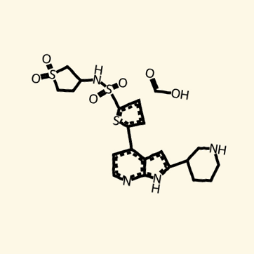 O=CO.O=S1(=O)CCC(NS(=O)(=O)c2ccc(-c3ccnc4[nH]c(C5CCCNC5)cc34)s2)C1